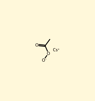 CC(=O)O[O-].[Cs+]